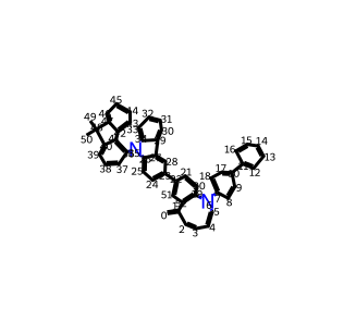 C=C1/C=C\C=C/N(c2ccc(-c3ccccc3)cc2)c2ccc(-c3ccc4c(c3)c3ccccc3n4-c3cccc4c3-c3ccccc3C4(C)C)cc21